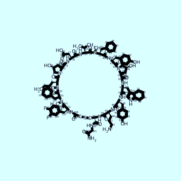 CCCC[C@H]1C(=O)N2C[C@@H](O)C[C@@H]2C(=O)N[C@@H](CC(=O)O)C(=O)N[C@@H](C(C)C)C(=O)N(C)[C@@H](Cc2ccccc2)C(=O)N[C@@H](Cc2ccc(O)cc2)C(=O)N2C[C@@H](O)C[C@@H]2C(=O)N[C@@H](Cc2c[nH]c3ccccc23)C(=O)N[C@@H](Cc2ccc(O)cc2)C(=O)N[C@@H](CCCN)C(=O)N[C@H](C(=O)NCC(N)=O)CSCC(=O)N[C@@H](Cc2ccc(F)c(F)c2)C(=O)N(C)C(Cc2ccccc2)C(=O)N1C